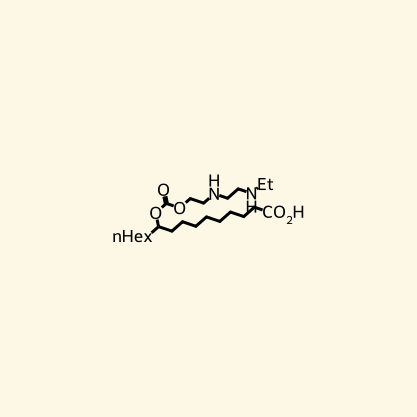 CCCCCCC(CCCCCCCCC(=O)O)OC(=O)OCCNCCNCC